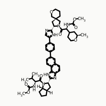 COC(=O)N[C@H](C(=O)N1[C@H](c2nc3ccc4cc(-c5ccc(-c6cnc([C@@H]7C[C@@]8(CCCOC8)CN7C(=O)[C@@H](NC(=O)OC)C7CCO[C@H](C)C7)[nH]6)cc5)ccc4c3[nH]2)C[C@@H]2CCC[C@@H]21)C(C)C